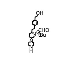 CC(C)(C)OC=O.OCCc1ccc(CCc2ccc(N3CCNCC3)cn2)cc1